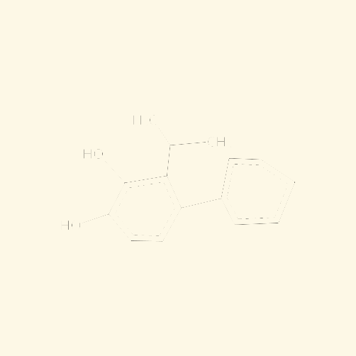 CC(C)c1c(-c2ccccc2)ccc(O)c1O